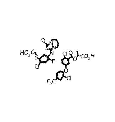 C[C@H](OC(=O)c1cc(Oc2ccc(C(F)(F)F)cc2Cl)ccc1Cl)C(=O)O.O=C(O)CSc1cc(N=c2sc(=O)n3n2CCCC3)c(F)cc1Cl